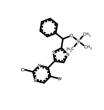 C[Si](C)(C)OC(c1ccccc1)c1ncc(-c2nc(Cl)ncc2Br)s1